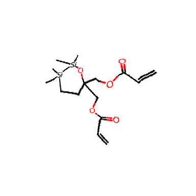 C=CC(=O)OCC1(COC(=O)C=C)CC[Si](C)(C)[Si](C)(C)O1